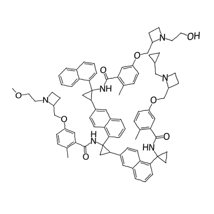 COCCN1CCC1COc1ccc(C)c(C(=O)NC2(c3cccc4cc(C5CC5(NC(=O)c5cc(OCC6CCN6CCO)ccc5C)c5cccc6ccccc56)ccc34)CC2c2ccc3c(C4(NC(=O)c5cc(OCC6CCN6CC6CC6)ccc5C)CC4)cccc3c2)c1